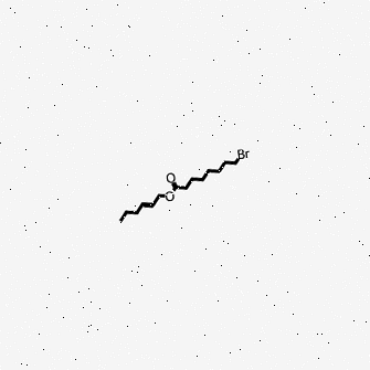 CCC/C=C/COC(=O)CCCCCCCBr